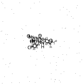 CCc1oc2ccc(NC3NC(=O)N(C[C@@H](CN=O)N=O)C(O)N3Cc3ccc(Cl)cc3)cc2c1C